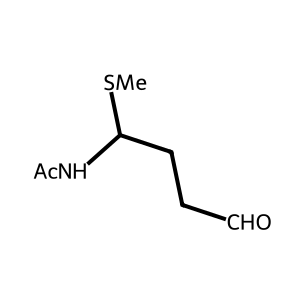 CSC(CCC=O)NC(C)=O